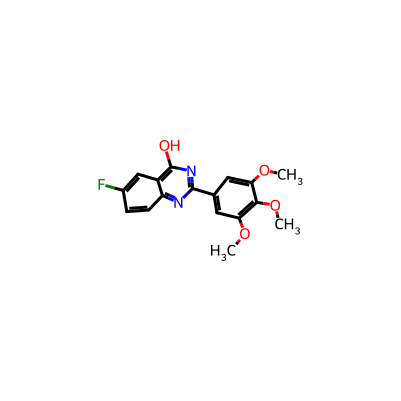 COc1cc(-c2nc(O)c3cc(F)ccc3n2)cc(OC)c1OC